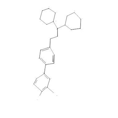 Fc1ccc(-c2ccc(CCC(C3CCCCC3)C3CCCCC3)cc2)cc1F